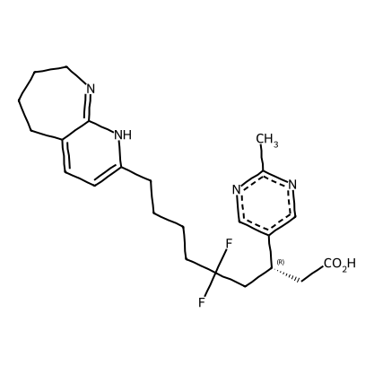 Cc1ncc([C@H](CC(=O)O)CC(F)(F)CCCCC2=CC=C3CCCCN=C3N2)cn1